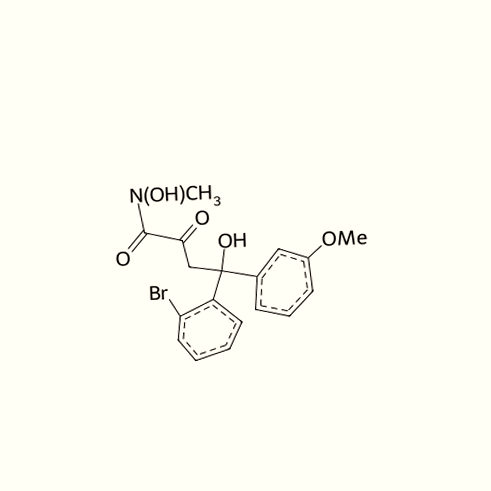 COc1cccc(C(O)(CC(=O)C(=O)N(C)O)c2ccccc2Br)c1